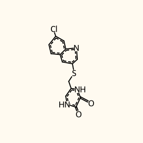 O=c1[nH]cc(CSc2cnc3cc(Cl)ccc3c2)[nH]c1=O